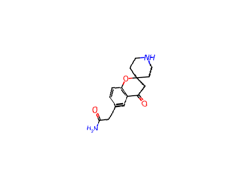 NC(=O)Cc1ccc2c(c1)C(=O)CC1(CCNCC1)O2